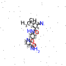 CC(C)c1cc(C#N)cc(C(=O)N[C@H]2CC[C@H](Oc3ncccc3C(N)=O)CC2)c1